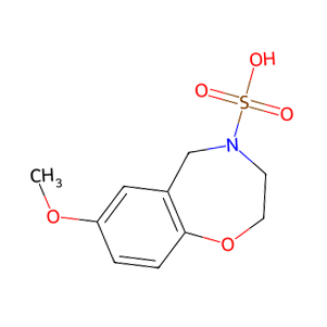 COc1ccc2c(c1)CN(S(=O)(=O)O)CCO2